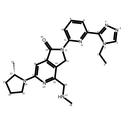 CCn1cnnc1-c1cccc(N2Cc3c(cc(N4CCC[C@@H]4C)nc3CNC)C2=O)n1